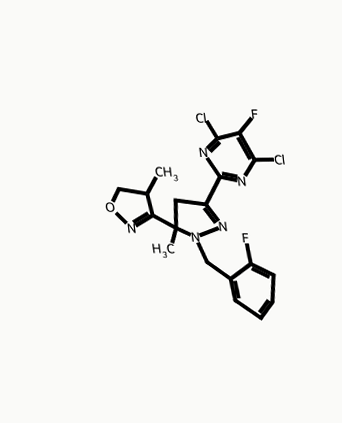 CC1CON=C1C1(C)CC(c2nc(Cl)c(F)c(Cl)n2)=NN1Cc1ccccc1F